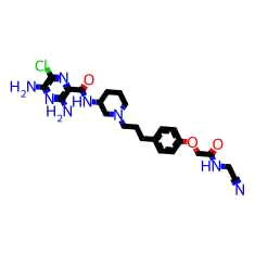 N#CCNC(=O)COc1ccc(CCCN2CCCC(NC(=O)c3nc(Cl)c(N)nc3N)C2)cc1